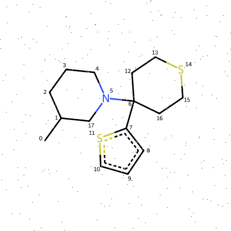 CC1CCCN(C2(c3cccs3)CCSCC2)C1